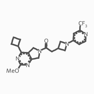 COc1nc2c(c(C3CCC3)n1)CN(C(=O)CC1CN(c3ccnc(C(F)(F)F)c3)C1)C2